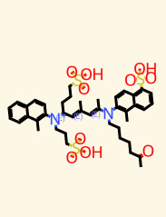 CC(=O)CCCCCN(/C(C)=C/C(C)=C/C(CCCS(=O)(=O)O)=[N+](\CCCS(=O)(=O)O)c1ccc2ccccc2c1C)c1ccc2c(S(=O)(=O)O)cccc2c1C